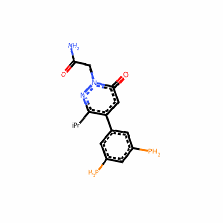 CC(C)c1nn(CC(N)=O)c(=O)cc1-c1cc(P)cc(P)c1